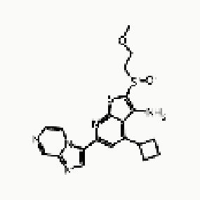 COCC[S+]([O-])c1sc2nc(-c3cnc4cnccn34)cc(C3CCC3)c2c1N